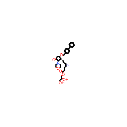 O=C(CC/C=C\CC[C@H]1[C@@H](OCc2ccc(-c3ccccc3)cc2)CC(=O)[C@@H]1N1CCOCC1)OCC(O)CO